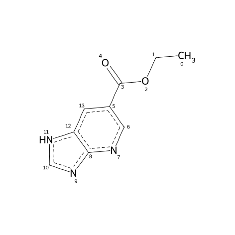 CCOC(=O)c1cnc2nc[nH]c2c1